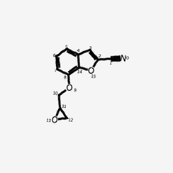 N#Cc1cc2cccc(OCC3CO3)c2o1